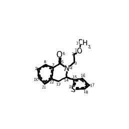 COCCN1C(=O)c2ccccc2CC1c1cccs1